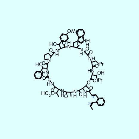 C/C=C\c1ccccc1/C=C/C(=O)NC1C(=O)NC(C)C(=O)NC(C(C)C(=O)O)C(=O)NCC(=O)NC(C(O)c2ccccc2)C(=O)N2CCCC2C(=O)NC(C(O)c2ccc(OC)cc2)C(=O)NC(Cc2c[nH]c3ccccc23)C(=O)NC(O)C(=O)NC(CC(C)C)C(=O)NC(C(O)C(C)C)C(=O)OC1C